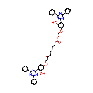 O=C(CCCCCCC(=O)OCCOc1ccc(-c2nc(-c3ccccc3)nc(-c3ccccc3)n2)c(O)c1)CCOc1ccc(-c2nc(-c3ccccc3)nc(-c3ccccc3)n2)c(O)c1